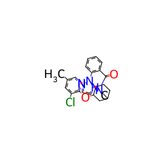 Cc1cnc(OC2CC3CCC2N(C(=O)c2ccccc2-n2nccn2)C3)c(Cl)c1